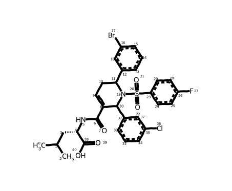 CC(C)C[C@H](NC(=O)C1=CCC(c2cccc(Br)c2)N(S(=O)(=O)c2ccc(F)cc2)C1c1cccc(Cl)c1)C(=O)O